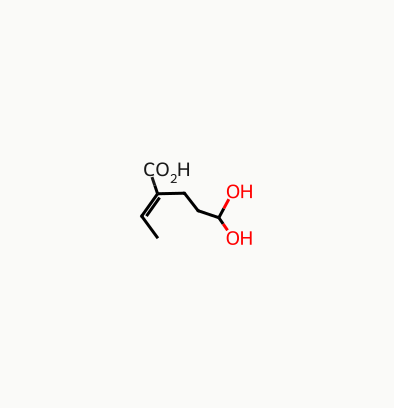 CC=C(CCC(O)O)C(=O)O